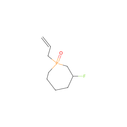 C=CCP1(=O)CCCCC(F)C1